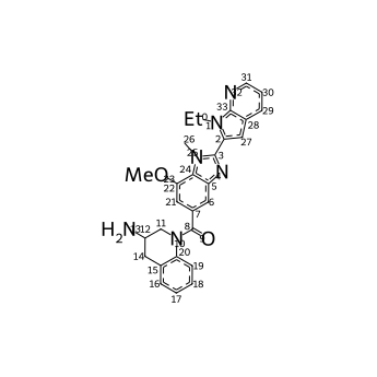 CCn1c(-c2nc3cc(C(=O)N4CC(N)Cc5ccccc54)cc(OC)c3n2C)cc2cccnc21